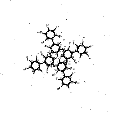 Fc1c(F)c(F)c(-c2c(F)c(F)[c]([Ga-]([c]3c(F)c(F)c(-c4c(F)c(F)c(F)c(F)c4F)c(F)c3F)([c]3c(F)c(F)c(-c4c(F)c(F)c(F)c(F)c4F)c(F)c3F)[c]3c(F)c(F)c(-c4c(F)c(F)c(F)c(F)c4F)c(F)c3F)c(F)c2F)c(F)c1F